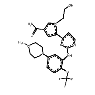 CN1CCN(c2ccc(OC(F)(F)F)c(Nc3nccc(-c4cc(C(N)=O)cn4CCO)n3)c2)CC1